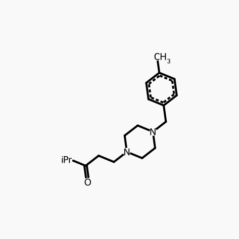 Cc1ccc(CN2CCN(CCC(=O)C(C)C)CC2)cc1